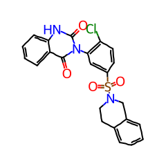 O=c1[nH]c2ccccc2c(=O)n1-c1cc(S(=O)(=O)N2CCc3ccccc3C2)ccc1Cl